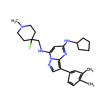 Cc1ccc(-c2cnn3c(NCC4(F)CCN(C)CC4)cc(NC4CCCC4)nc23)cc1C